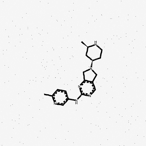 Cc1ccc(Nc2ncc3c(n2)CN([C@@H]2CCN[C@H](C)C2)C3)cn1